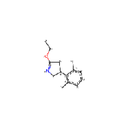 CCOC1=NCC(c2c(C)cccc2C)C1